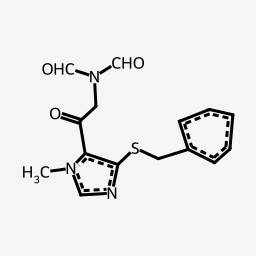 Cn1cnc(SCc2ccccc2)c1C(=O)CN(C=O)C=O